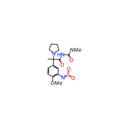 CNC(=O)NC(=O)C(C)(c1ccc(OC)c(N=S(=O)=O)c1)N1CCCC1